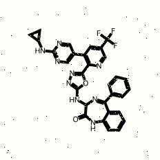 O=C1Nc2ccccc2C(c2ccccc2)=NC1Nc1nnc(-c2ncc(C(F)(F)F)cc2-c2cnc(NC3CC3)nc2)o1